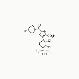 O=C(O)c1nc(C(=O)N2CC[S+]([O-])CC2)sc1-c1ccc(C(O)(C(F)(F)F)C(F)(F)F)c(Cl)c1Cl